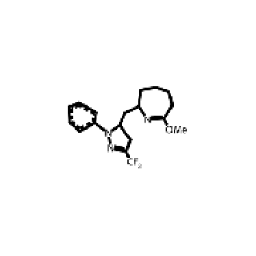 COC1=NC(CC2CC(C(F)(F)F)=NN2c2ccccc2)CCCC1